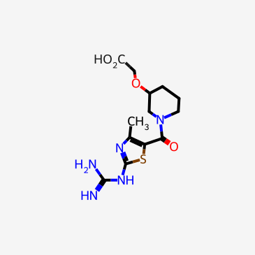 Cc1nc(NC(=N)N)sc1C(=O)N1CCCC(OCC(=O)O)C1